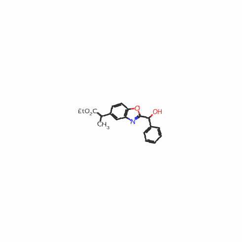 CCOC(=O)C(C)c1ccc2oc(C(O)c3ccccc3)nc2c1